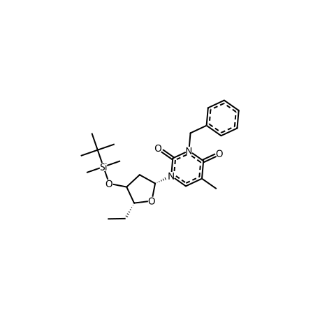 CC[C@H]1O[C@@H](n2cc(C)c(=O)n(Cc3ccccc3)c2=O)CC1O[Si](C)(C)C(C)(C)C